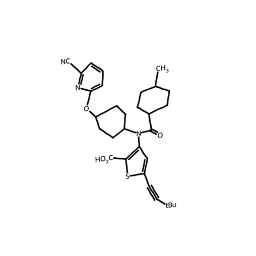 CC1CCC(C(=O)N(c2cc(C#CC(C)(C)C)sc2C(=O)O)C2CCC(Oc3cccc(C#N)n3)CC2)CC1